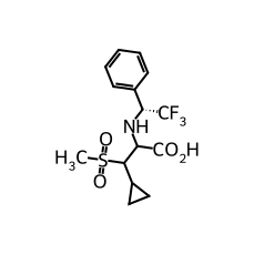 CS(=O)(=O)C(C1CC1)C(N[C@H](c1ccccc1)C(F)(F)F)C(=O)O